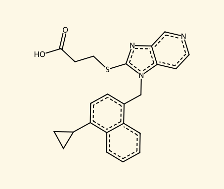 O=C(O)CCSc1nc2cnccc2n1Cc1ccc(C2CC2)c2ccccc12